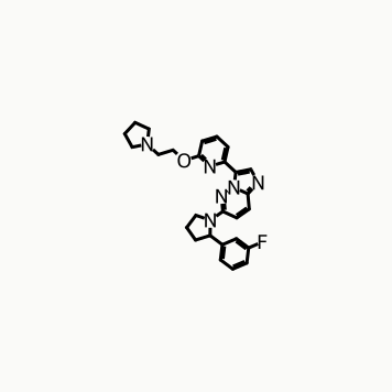 Fc1cccc(C2CCCN2c2ccc3ncc(-c4cccc(OCCN5CCCC5)n4)n3n2)c1